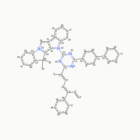 C=C/C(=C\C=C(/C)c1nc(-c2ccc(-c3ccccc3)cc2)nc(-n2c3ccccc3c3cn4c(c32)C(C)(C)c2ccccc2-4)n1)c1ccccc1